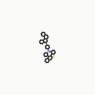 c1ccc(N(c2ccc(-c3cc4ccc5ccccc5c4c4ccccc34)cc2)c2cccc3sc4cc5ccccc5cc4c23)cc1